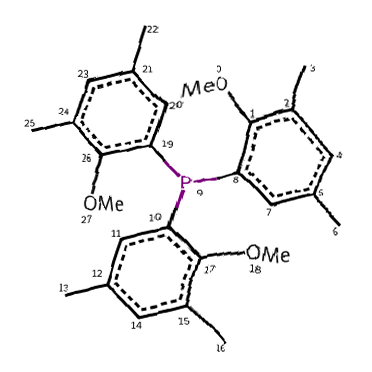 COc1c(C)cc(C)cc1P(c1cc(C)cc(C)c1OC)c1cc(C)cc(C)c1OC